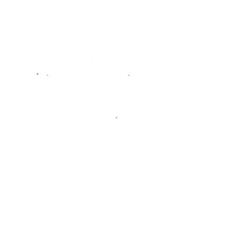 COc1cc(S(=O)(=O)c2ccccn2)c(S(=O)(=O)N2CCC(F)(CNC(=O)C(F)(F)F)CC2)cc1Cl